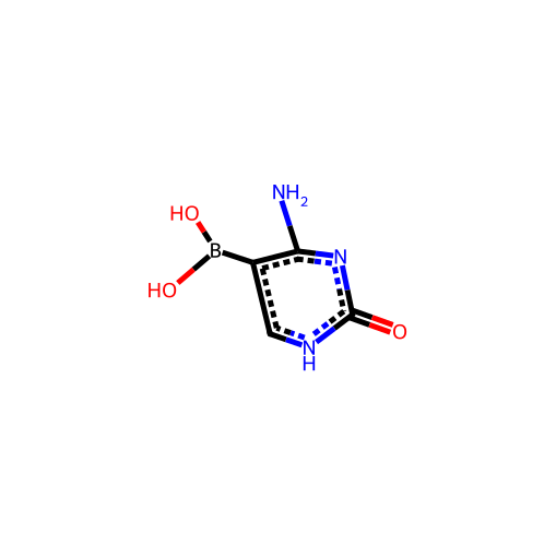 Nc1nc(=O)[nH]cc1B(O)O